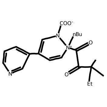 CCCC[N+]1(C(=O)C(=O)C(C)(C)CC)C=CC(c2cccnc2)=CN1C(=O)[O-]